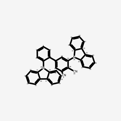 N#Cc1cc(-c2ccccc2-n2c3ccccc3c3ccccc32)cc(-n2c3ccccc3c3ccccc32)c1C#N